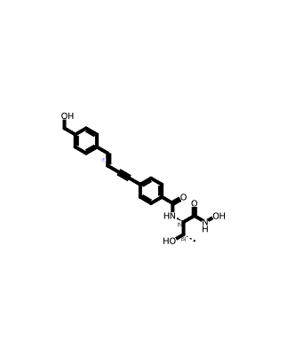 C[C@H](O)[C@H](NC(=O)c1ccc(C#C/C=C/c2ccc(CO)cc2)cc1)C(=O)NO